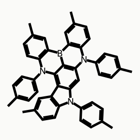 Cc1ccc(N2c3ccc(C)cc3B3c4cc(C)ccc4N(c4ccc(C)cc4)c4c3c2cc2c4c3cc(C)ccc3n2-c2ccc(C)cc2)cc1